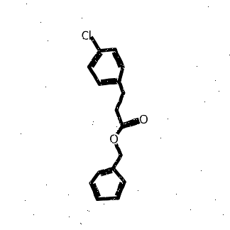 O=C(CCc1ccc(Cl)cc1)OCc1ccccc1